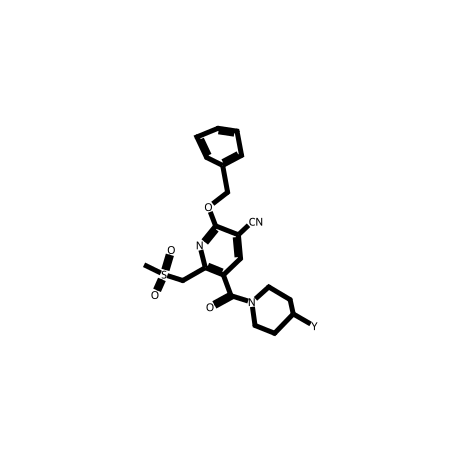 CS(=O)(=O)Cc1nc(OCc2ccccc2)c(C#N)cc1C(=O)N1CC[CH]([Y])CC1